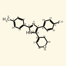 Cc1ccc(-c2nc(-c3ccc(F)cc3)c(C3=CCOCC3)[nH]2)cc1